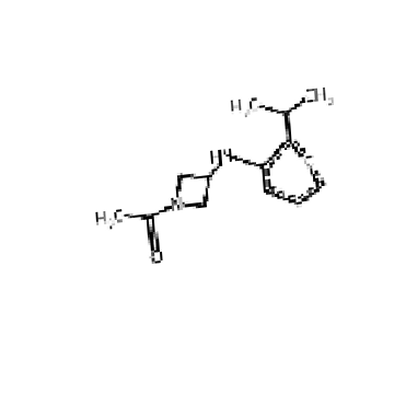 CC(=O)N1CC(Nc2ccccc2C(C)C)C1